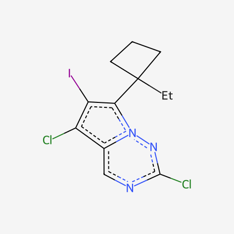 CCC1(c2c(I)c(Cl)c3cnc(Cl)nn23)CCC1